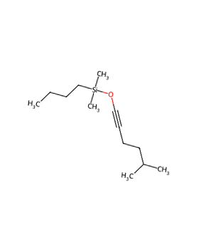 CCCC[Si](C)(C)OC#CCCC(C)C